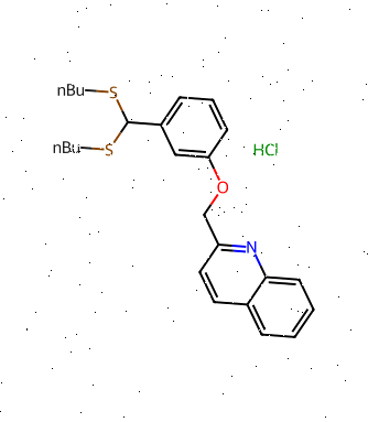 CCCCSC(SCCCC)c1cccc(OCc2ccc3ccccc3n2)c1.Cl